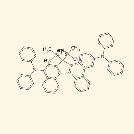 C[Si](C)(C)C1([Si](C)(C)C)c2cc(N(c3ccccc3)c3ccccc3)c3ccccc3c2-c2c1c1ccc(N(c3ccccc3)c3ccccc3)cc1c1ccccc21